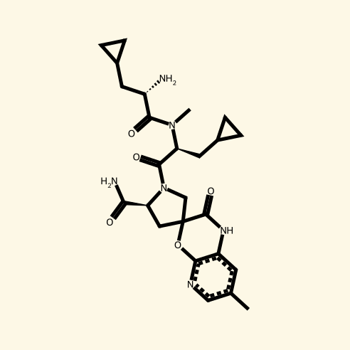 Cc1cnc2c(c1)NC(=O)C1(C[C@@H](C(N)=O)N(C(=O)[C@H](CC3CC3)N(C)C(=O)[C@@H](N)CC3CC3)C1)O2